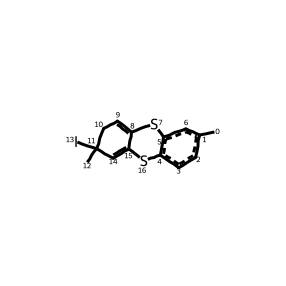 Cc1ccc2c(c1)SC1=CCC(C)(I)C=C1S2